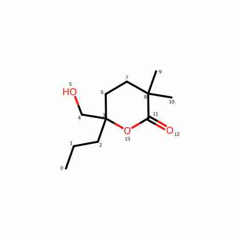 CCCC1(CO)CCC(C)(C)C(=O)O1